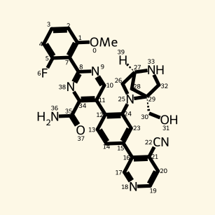 COc1cccc(F)c1-c1ncc(-c2ccc(-c3cnccc3C#N)cc2N2C[C@@H]3C[C@@]2(CO)CN3)c(C(N)=O)n1